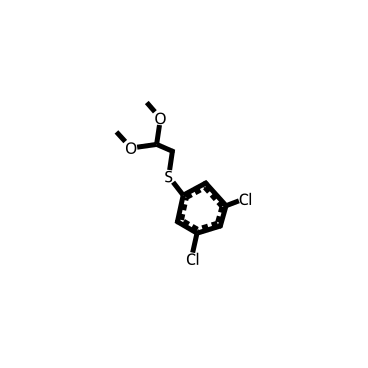 COC(CSc1cc(Cl)cc(Cl)c1)OC